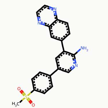 CS(=O)(=O)c1ccc(-c2cnc(N)c(-c3ccc4nccnc4c3)c2)cc1